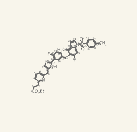 CCOC(=O)CCc1cccc(Cc2cnc(-c3cc(Oc4c(F)cc5c(ccn5S(=O)(=O)c5ccc(C)cc5)c4C)ccc3F)[nH]2)n1